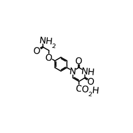 NC(=O)COc1ccc(-n2cc(C(=O)O)c(=O)[nH]c2=O)cc1